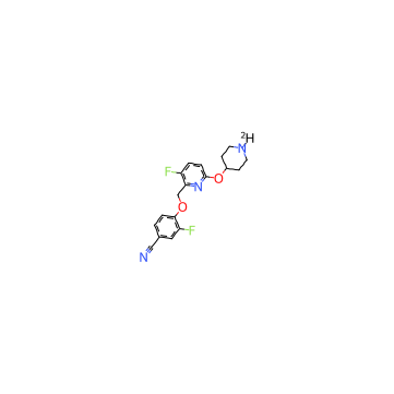 [2H]N1CCC(Oc2ccc(F)c(COc3ccc(C#N)cc3F)n2)CC1